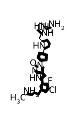 C=C[C@H](C[C@@H]1CCC[C@@H](c2ccc(-n3cc4cc(-c5cc(CCC[C@H](C)N)cc(Cl)c5F)[nH]c4nc3=O)cc2)N1)NC(=N)CN